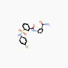 NC(=O)c1cccc(NC(=O)c2cccc(S(=O)(=O)Nc3ccc(Cl)cc3)c2)c1